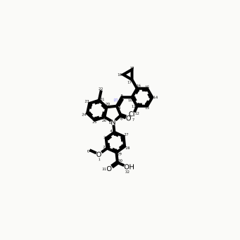 COc1cc(N2C(=O)/C(=C\c3c(Cl)cccc3C3CC3)c3c(C)cccc32)ccc1C(=O)O